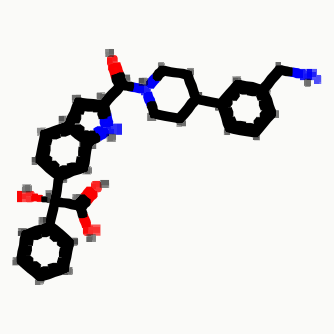 NCc1cccc(C2CCN(C(=O)c3cc4ccc([C@@](O)(C(=O)O)c5ccccc5)cc4[nH]3)CC2)c1